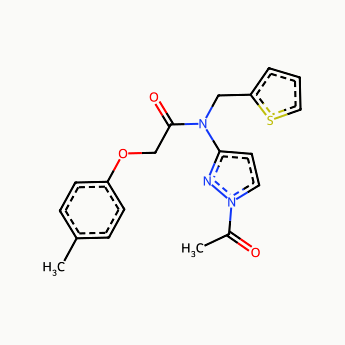 CC(=O)n1ccc(N(Cc2cccs2)C(=O)COc2ccc(C)cc2)n1